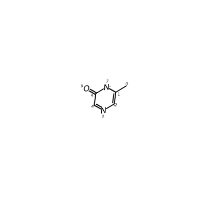 CC1=[C]N=CC(=O)[N]1